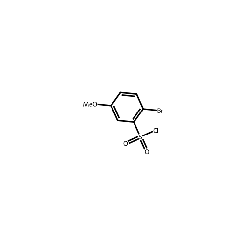 COc1ccc(Br)c(S(=O)(=O)Cl)c1